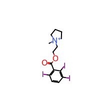 C[N+]1(CCOC(=O)c2c(I)ccc(I)c2I)CCCC1